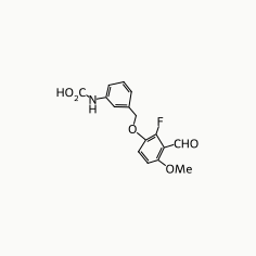 COc1ccc(OCc2cccc(NC(=O)O)c2)c(F)c1C=O